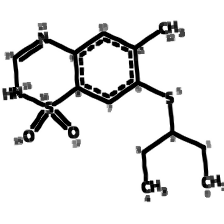 CCC(CC)Sc1cc2c(cc1C)N=CNS2(=O)=O